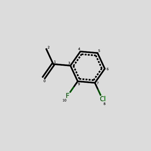 C=C(C)c1cccc(Cl)c1F